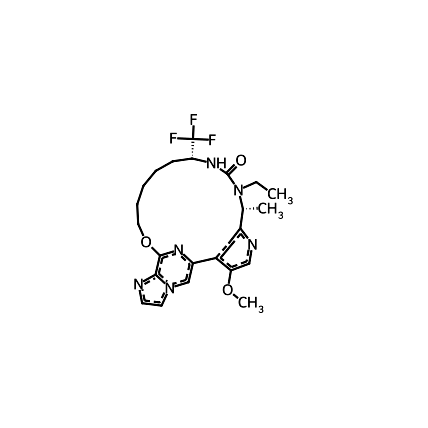 CCN1C(=O)N[C@@H](C(F)(F)F)CCCCCOc2nc(cn3ccnc23)-c2cc(ncc2OC)[C@H]1C